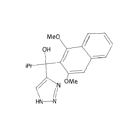 COc1cc2ccccc2c(OC)c1C(O)(c1c[nH]nn1)C(C)C